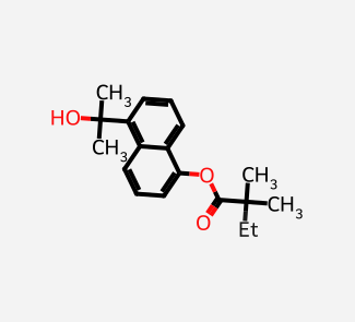 CCC(C)(C)C(=O)Oc1cccc2c(C(C)(C)O)cccc12